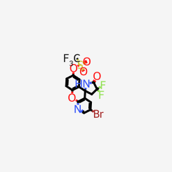 O=C1NC2(CC1(F)F)c1cc(OS(=O)(=O)C(F)(F)F)ccc1Oc1ncc(Br)cc12